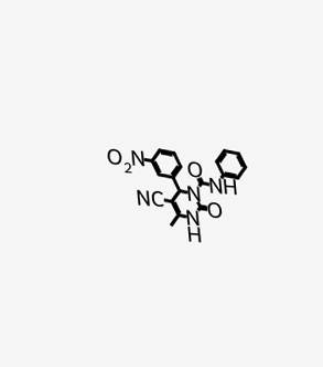 CC1=C(C#N)C(c2cccc([N+](=O)[O-])c2)N(C(=O)Nc2ccccc2)C(=O)N1